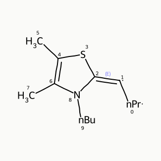 CC[CH]/[C]=C1/SC(C)=C(C)N1CCCC